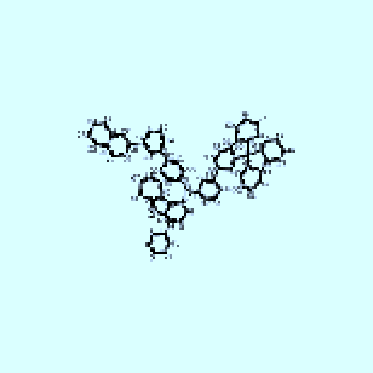 c1ccc(-c2ccc(N(c3ccc(-c4cccc(-c5ccc6ccccc6c5)c4)cc3)c3cccc(-c4ccc5c(c4)C4(c6ccccc6-c6ccccc64)c4ccccc4-5)c3)c3c2sc2ccccc23)cc1